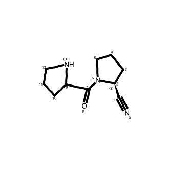 N#C[C@@H]1CCCN1C(=O)C1CCCN1